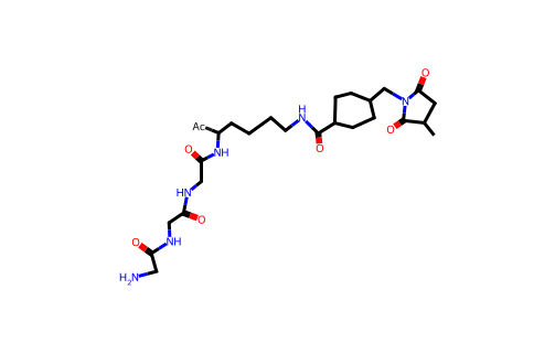 CC(=O)C(CCCCNC(=O)C1CCC(CN2C(=O)CC(C)C2=O)CC1)NC(=O)CNC(=O)CNC(=O)CN